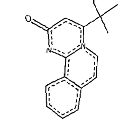 CC(C)(C)c1cc(=O)nc2c3ccccc3ccn12